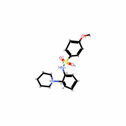 COc1ccc(S(=O)(=O)Nc2ccccc2N2CCCCC2)cc1